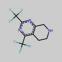 FC(F)(F)c1nc2c(c(C(F)(F)F)n1)CCNC2